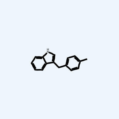 Cc1ccc(Cc2c[nH]c3ccccc23)cc1